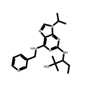 CCC(Nc1nc([AsH]Cc2cccnc2)c2ncn(C(C)C)c2n1)C(C)(C)O